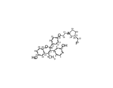 CC1=C(c2cccc(O)c2)[C@H](c2ccc(OCCN3CC[C@@H](CF)C3)cc2)Oc2ccc(O)cc21